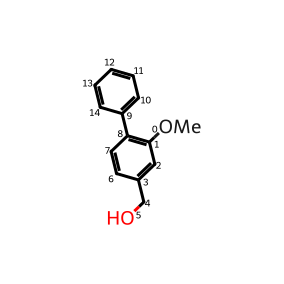 COc1cc(CO)ccc1-c1ccccc1